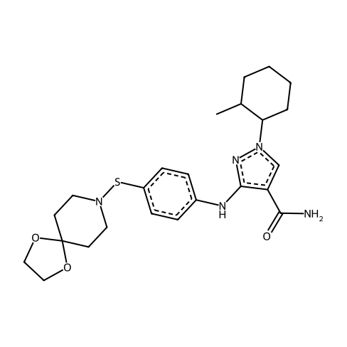 CC1CCCCC1n1cc(C(N)=O)c(Nc2ccc(SN3CCC4(CC3)OCCO4)cc2)n1